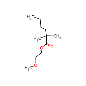 CCCCC(C)(C)C(=O)OCCOC